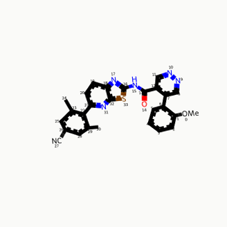 COc1ccccc1-c1cnncc1C(=O)Nc1nc2ccc(-c3c(C)cc(C#N)cc3C)nc2s1